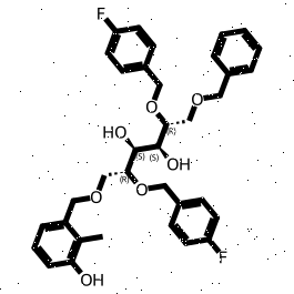 Cc1c(O)cccc1COC[C@@H](OCc1ccc(F)cc1)[C@@H](O)[C@H](O)[C@@H](COCc1ccccc1)OCc1ccc(F)cc1